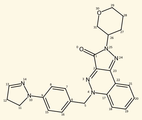 O=c1c2nn(Cc3ccc(N4CCC=N4)cc3)c3ccccc3c-2nn1C1CCCOC1